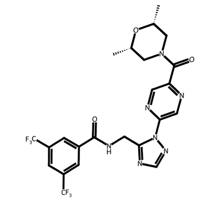 C[C@@H]1CN(C(=O)c2cnc(-n3ncnc3CNC(=O)c3cc(C(F)(F)F)cc(C(F)(F)F)c3)cn2)C[C@H](C)O1